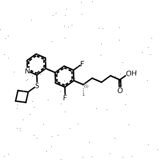 C[C@@H](CCCC(=O)O)c1c(F)cc(-c2cccnc2SC2CCC2)cc1F